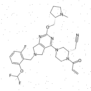 C=CC(=O)N1CCN(c2nc(OC[C@@H]3CCCN3C)nc3c2CN(Cc2c(F)cccc2OC(F)F)C3)C[C@@H]1CC#N